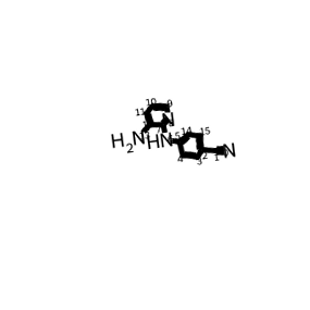 N#Cc1ccc(Nc2ncccc2N)cc1